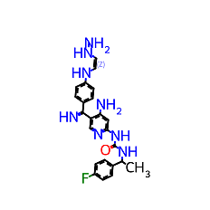 CC(NC(=O)Nc1cc(N)c(C(=N)c2ccc(N/C=C\NN)cc2)cn1)c1ccc(F)cc1